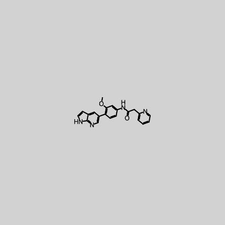 COc1cc(NC(=O)Cc2ccccn2)ccc1-c1cnc2[nH]ccc2c1